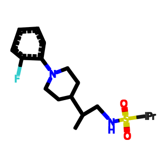 CC(CNS(=O)(=O)C(C)C)C1CCN(c2ccccc2F)CC1